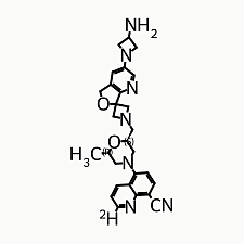 [2H]c1ccc2c(N3C[C@H](CN4CC5(C4)OCc4cc(N6CC(N)C6)cnc45)O[C@H](C)C3)ccc(C#N)c2n1